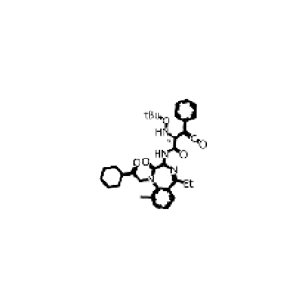 CCC1=NC(NC(=O)[C@@H](NOC(C)(C)C)C(=C=O)c2ccccc2)C(=O)N(CC(=O)C2CCCCC2)c2c(C)cccc21